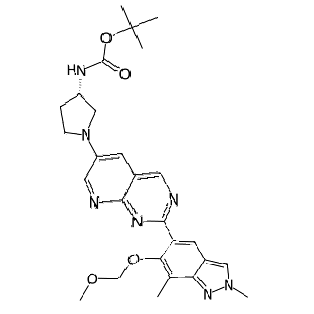 COCOc1c(-c2ncc3cc(N4CC[C@H](NC(=O)OC(C)(C)C)C4)cnc3n2)cc2cn(C)nc2c1C